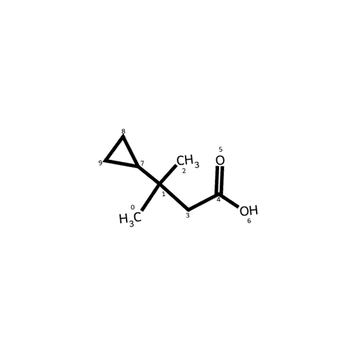 CC(C)(CC(=O)O)C1CC1